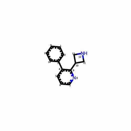 c1ccc(-c2cccnc2C2CNC2)cc1